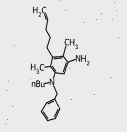 C=CCCCc1c(C)c(N)cc(N(CCCC)Cc2ccccc2)c1C